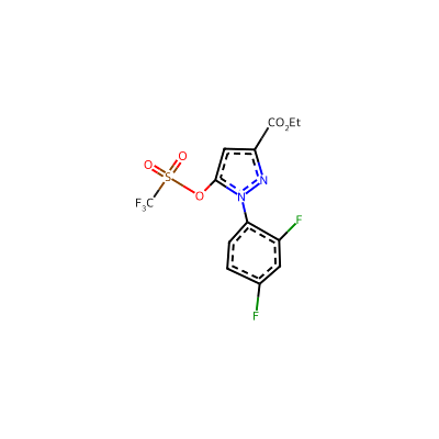 CCOC(=O)c1cc(OS(=O)(=O)C(F)(F)F)n(-c2ccc(F)cc2F)n1